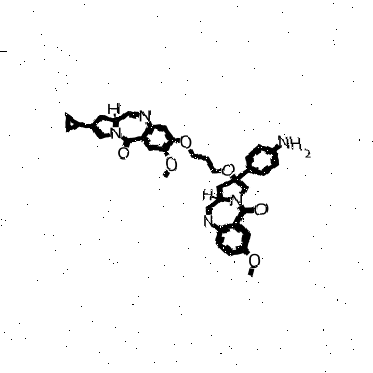 COc1ccc2c(c1)C(=O)N1CC(OCCCOc3cc4c(cc3OC)C(=O)N3C=C(C5CC5)C[C@H]3C=N4)(c3ccc(N)cc3)C[C@H]1C=N2